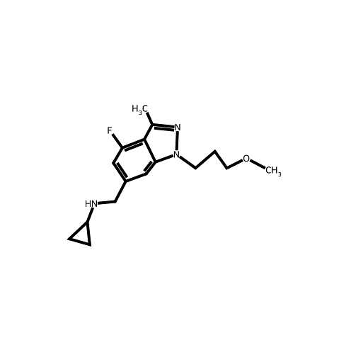 COCCCn1nc(C)c2c(F)cc(CNC3CC3)cc21